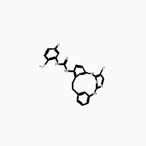 Cc1ccc(Cl)cc1NC(=O)Nc1ccc2cc1CCc1cccc(c1)Nc1ncc(Cl)c(n1)N2